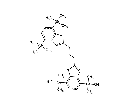 [CH3][Ge]([CH3])([CH3])[c]1cc[c]([Ge]([CH3])([CH3])[CH3])c2c1[CH]C(CCCC1=Cc3[c]([Ge]([CH3])([CH3])[CH3])cc[c]([Ge]([CH3])([CH3])[CH3])c3[CH]1)=C2